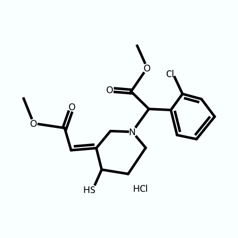 COC(=O)/C=C1\CN(C(C(=O)OC)c2ccccc2Cl)CCC1S.Cl